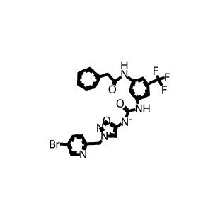 O=C(Cc1ccccc1)Nc1cc(NC(=O)[N-]c2c[n+](Cc3ccc(Br)cn3)no2)cc(C(F)(F)F)c1